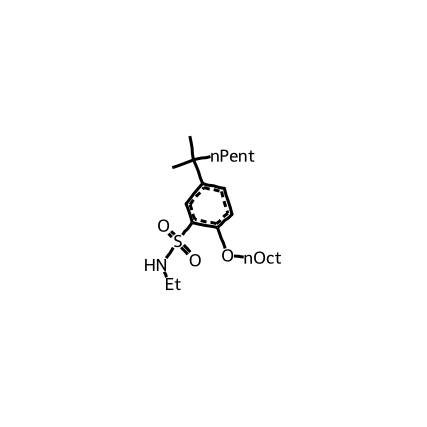 [CH2]CNS(=O)(=O)c1cc(C(C)(C)CCCCC)ccc1OCCCCCCCC